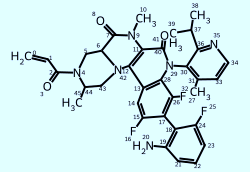 C=CC(=O)N1CC2C(=O)N(C)c3c(c4cc(F)c(-c5c(N)cccc5F)c(F)c4n(-c4c(C)ccnc4C(C)C)c3=O)N2CC1C